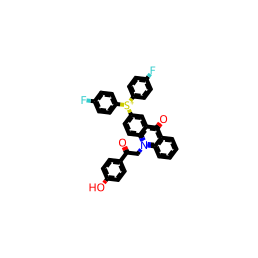 O=C(Cn1c2ccccc2c(=O)c2cc([S+](c3ccc(F)cc3)c3ccc(F)cc3)ccc21)c1ccc(O)cc1